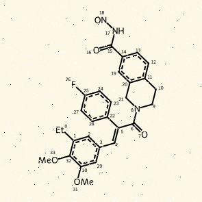 CCc1cc(/C=C(/C(=O)N2CCc3ccc(C(=O)NN=O)cc3C2)c2ccc(F)cc2)cc(OC)c1OC